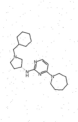 c1cc(N2CCCCCC2)nc(N[C@@H]2CCN(CC3CCCCC3)C2)n1